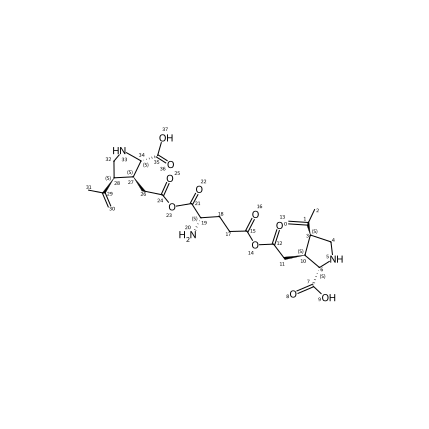 C=C(C)[C@H]1CN[C@H](C(=O)O)[C@H]1CC(=O)OC(=O)CC[C@H](N)C(=O)OC(=O)C[C@H]1[C@@H](C(=C)C)CN[C@@H]1C(=O)O